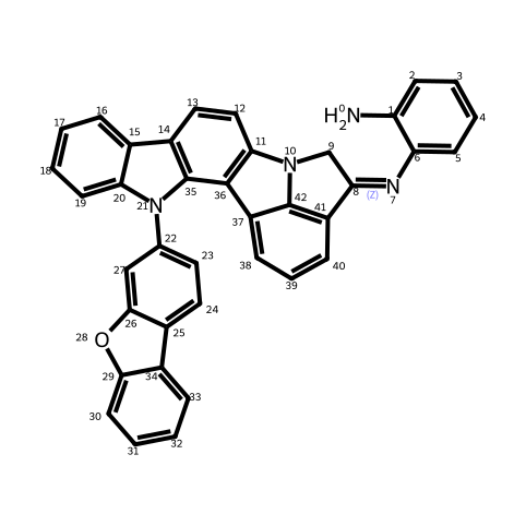 Nc1ccccc1/N=C1\Cn2c3ccc4c5ccccc5n(-c5ccc6c(c5)oc5ccccc56)c4c3c3cccc1c32